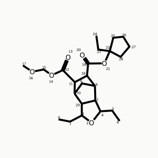 CCC1OC(CC)C2C3CC(C(C(=O)OCOC)C3C(=O)OC3(CC)CCCC3)C12